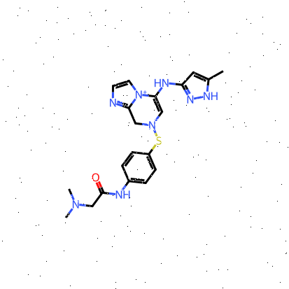 Cc1cc(NC2=CN(Sc3ccc(NC(=O)CN(C)C)cc3)CC3=NC=C[N+]23)n[nH]1